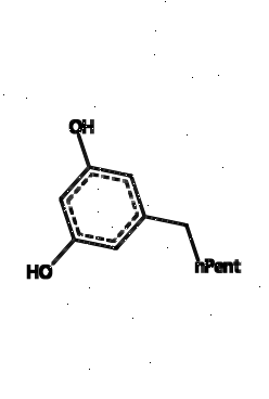 [CH2]CCCCCc1cc(O)cc(O)c1